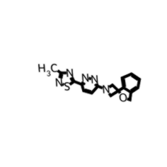 Cc1nsc(-c2ccc(N3CC4(C3)OCc3ccccc34)nn2)n1